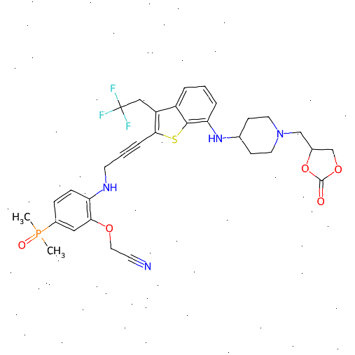 CP(C)(=O)c1ccc(NCC#Cc2sc3c(NC4CCN(CC5COC(=O)O5)CC4)cccc3c2CC(F)(F)F)c(OCC#N)c1